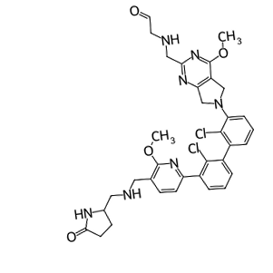 COc1nc(-c2cccc(-c3cccc(N4Cc5nc(CNCC=O)nc(OC)c5C4)c3Cl)c2Cl)ccc1CNCC1CCC(=O)N1